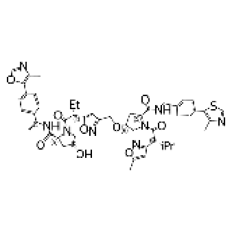 CC[C@@H](C(=O)N1C[C@H](O)C[C@H]1C(=O)N[C@@H](C)c1ccc(-c2ocnc2C)cc1)c1cc(CO[C@@H]2C[C@@H](C(=O)NCc3ccc(-c4scnc4C)cc3)N(C(=O)[C@@H](c3cc(C)on3)C(C)C)C2)no1